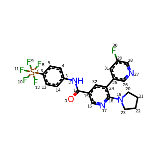 O=C(Nc1ccc(S(F)(F)(F)(F)F)cc1)c1cnc(N2CCCC2)c(-c2cncc(F)c2)c1